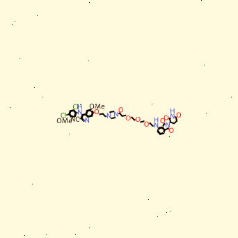 COc1cc(Nc2c(C#N)cnc3cc(OCCCN4CCN(C(=O)CCOCCOCCOCCNc5cccc6c5C(=O)N(C5CCC(=O)NC5=O)C6=O)CC4)c(OC)cc23)c(Cl)cc1Cl